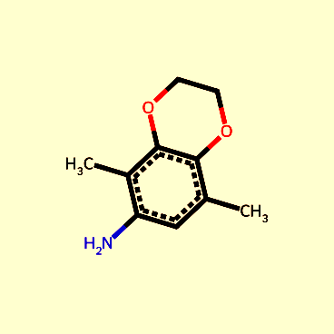 Cc1cc(N)c(C)c2c1OCCO2